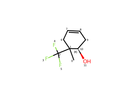 CC1(C(F)(F)F)CC=CC[C@H]1O